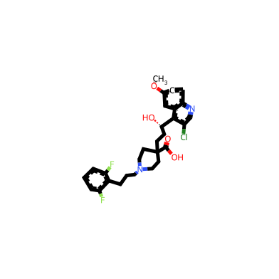 COc1ccc2ncc(Cl)c([C@@H](O)CCC3(C(=O)O)CCN(CCCc4c(F)cccc4F)CC3)c2c1